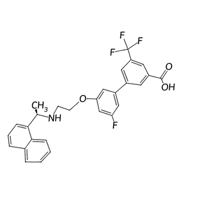 C[C@@H](NCCOc1cc(F)cc(-c2cc(C(=O)O)cc(C(F)(F)F)c2)c1)c1cccc2ccccc12